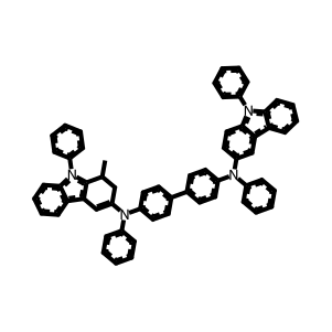 CC1CC(N(c2ccccc2)c2ccc(-c3ccc(N(c4ccccc4)c4ccc5c(c4)c4ccccc4n5-c4ccccc4)cc3)cc2)=Cc2c1n(-c1ccccc1)c1ccccc21